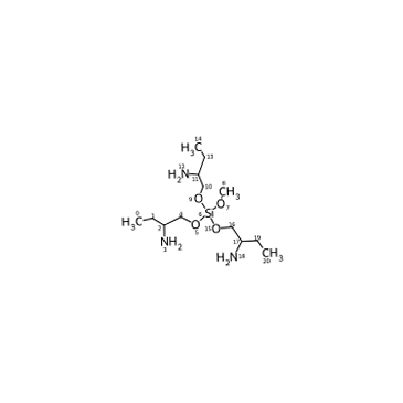 CCC(N)CO[Si](OC)(OCC(N)CC)OCC(N)CC